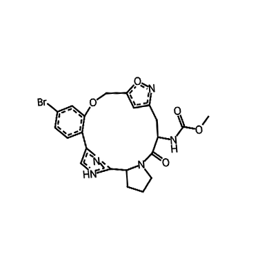 COC(=O)NC1Cc2cc(on2)COc2cc(Br)ccc2-c2c[nH]c(n2)C2CCCN2C1=O